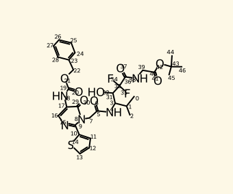 CC(C)C(NC(=O)Cn1c(-c2cccs2)ncc(NC(=O)OCc2ccccc2)c1=O)C(O)C(F)(F)C(=O)NCC(=O)OC(C)(C)C